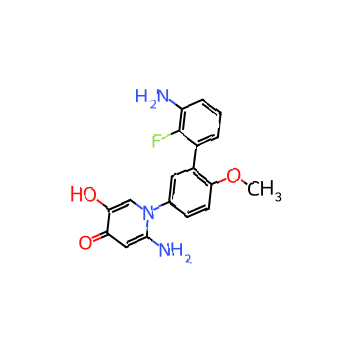 COc1ccc(-n2cc(O)c(=O)cc2N)cc1-c1cccc(N)c1F